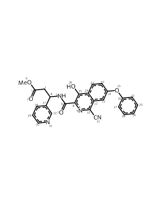 COC(=O)CC(NC(=O)c1nc(C#N)c2cc(Oc3ccccc3)ccc2c1O)c1cccnc1